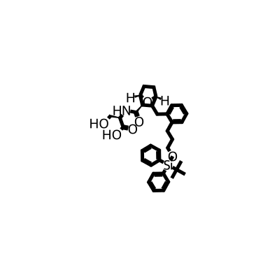 CC(C)(C)[Si](OCCCc1ccccc1CC1[C@@H](C(=O)N[C@H](CO)C(=O)O)[C@@H]2CC[C@H]1O2)(c1ccccc1)c1ccccc1